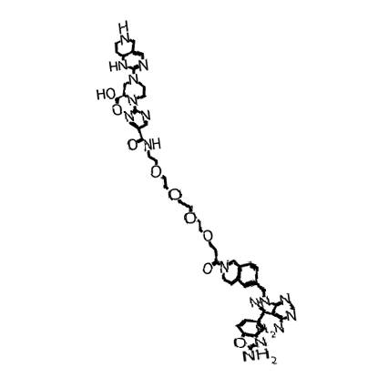 Nc1nc2cc(-c3nn(Cc4ccc5c(c4)CCN(C(=O)CCOCCOCCOCCOCCNC(=O)c4cnc(N6CCN(C7=NC=C8CNCCC8N7)C[C@@H]6C(=O)O)nc4)C5)c4ncnc(N)c34)ccc2o1